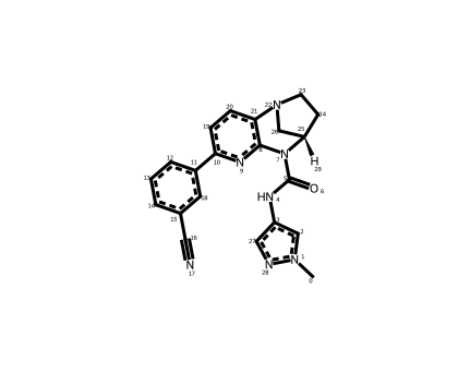 Cn1cc(NC(=O)N2c3nc(-c4cccc(C#N)c4)ccc3N3CC[C@H]2C3)cn1